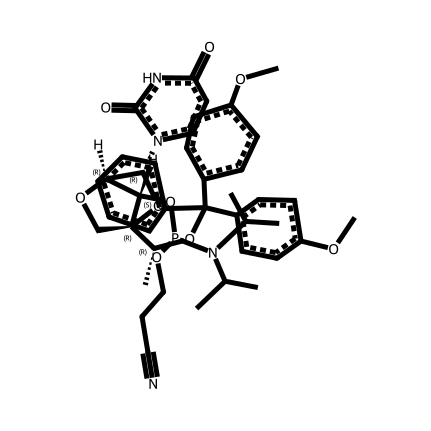 COc1ccc(C(O[C@H](C)[C@@]23CO[C@@H]([C@H](n4ccc(=O)[nH]c4=O)O2)[C@@H]3OP(OCCC#N)N(C(C)C)C(C)C)(c2ccccc2)c2ccc(OC)cc2)cc1